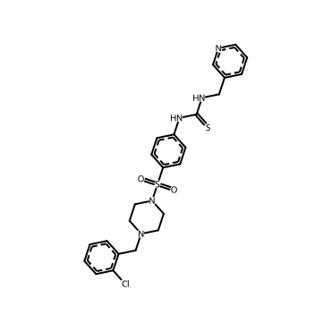 O=S(=O)(c1ccc(NC(=S)NCc2cccnc2)cc1)N1CCN(Cc2ccccc2Cl)CC1